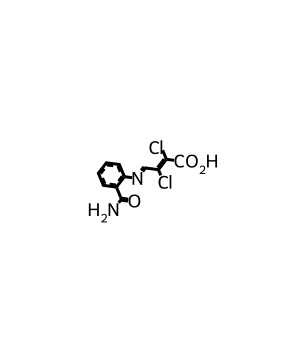 NC(=O)c1ccccc1N=CC(Cl)=C(Cl)C(=O)O